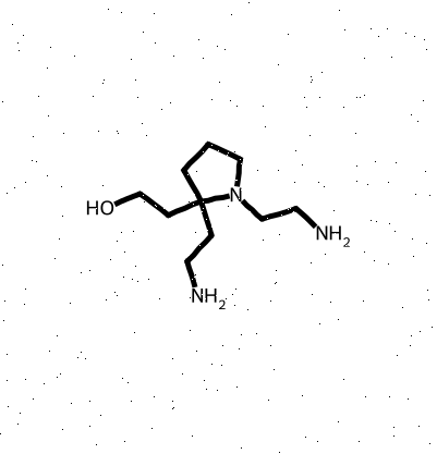 NCCN1CCCC1(CCN)CCO